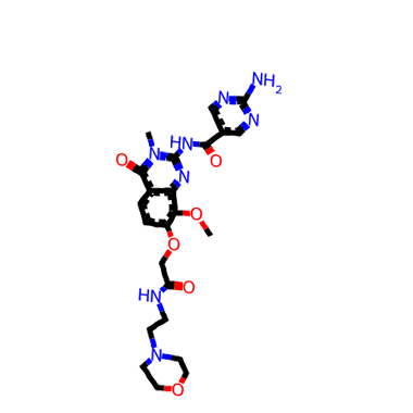 COc1c(OCC(=O)NCCN2CCOCC2)ccc2c(=O)n(C)c(NC(=O)c3cnc(N)nc3)nc12